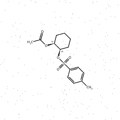 CC(=O)O[C@H]1CCCC[C@H]1OS(=O)(=O)c1ccc(C)cc1